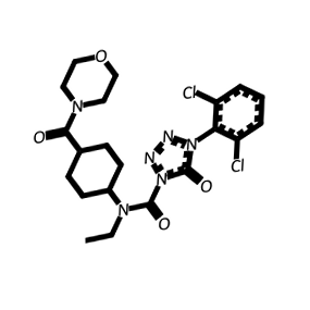 CCN(C(=O)n1nnn(-c2c(Cl)cccc2Cl)c1=O)C1CCC(C(=O)N2CCOCC2)CC1